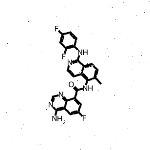 Cc1ccc2c(Nc3ccc(F)cc3F)nccc2c1NC(=O)c1cc(F)cc2c(N)ncnc12